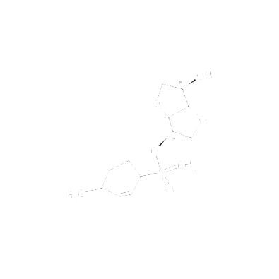 C=S(=O)(O[C@@H]1COC2C1OC[C@H]2O)C1C=CC(C)CC1